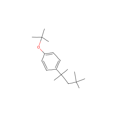 CC(C)(C)CC(C)(C)c1ccc(OC(C)(C)C)cc1